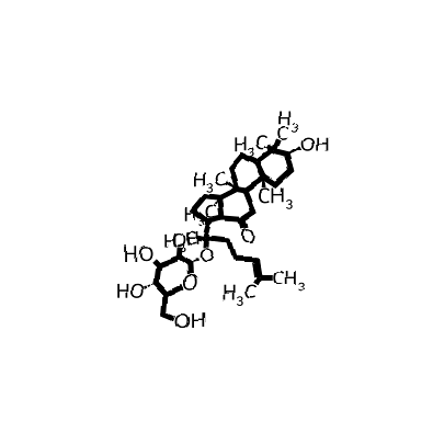 CC(C)=CCCC(C)(O[C@@H]1OC(CO)[C@H](O)C(O)C1O)C1CC[C@]2(C)C1C(=O)CC1[C@@]3(C)CC[C@H](O)C(C)(C)C3CC[C@]12C